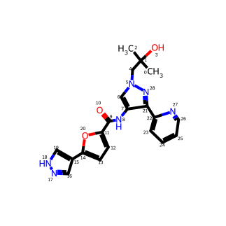 CC(C)(O)Cn1cc(NC(=O)c2ccc(-c3cn[nH]c3)o2)c(-c2ccccn2)n1